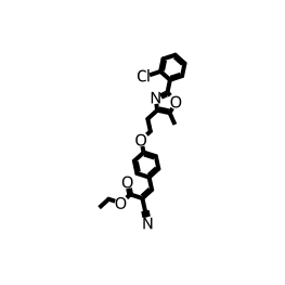 CCOC(=O)C(C#N)=Cc1ccc(OCCc2nc(-c3ccccc3Cl)oc2C)cc1